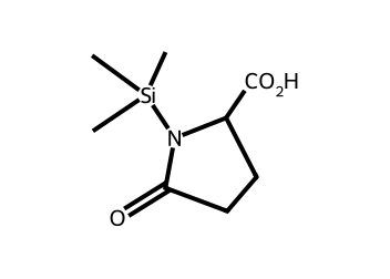 C[Si](C)(C)N1C(=O)CCC1C(=O)O